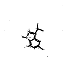 Cc1cc(F)c2c(c1)c(C(C)C)nn2C